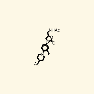 CC(=O)NCC1CN(c2ccc(N3CCC(C(C)=O)CC3)c(F)c2)C(=O)O1